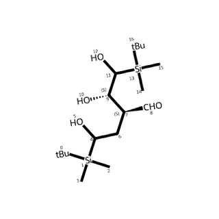 CC(C)(C)[Si](C)(C)C(O)C[C@H](C=O)[C@H](O)C(O)[Si](C)(C)C(C)(C)C